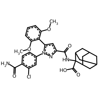 COc1cccc(OC)c1-c1cc(C(=O)NC2(C(=O)O)C3CC4CC(C3)CC2C4)nn1-c1ccc(C(N)=O)c(Cl)c1